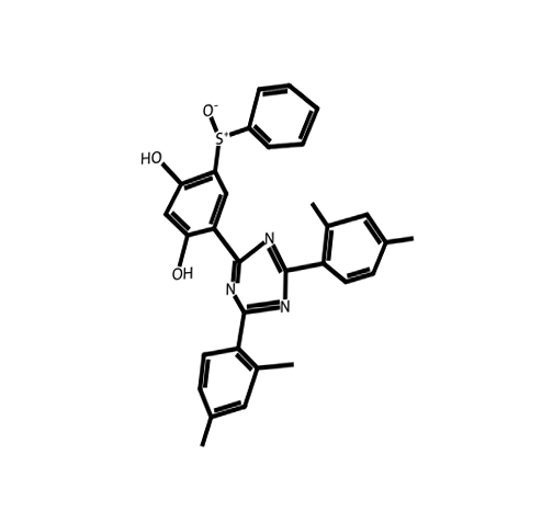 Cc1ccc(-c2nc(-c3ccc(C)cc3C)nc(-c3cc([S+]([O-])c4ccccc4)c(O)cc3O)n2)c(C)c1